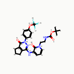 CC(C)(C)OC(=O)NCCn1cccc(Nc2nn(-c3ccc(OC(F)(F)F)cc3)c(=O)c3c2CCC3)c1=O